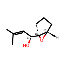 CC(C)=C[C@H](O)[C@@]12CCC[C@@H]1O2